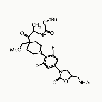 COCC1(C(=O)C(C)NC(=O)OC(C)(C)C)CCN(c2c(F)cc(N3CC(CNC(C)=O)OC3=O)cc2F)CC1